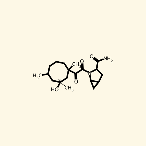 CC1CCCC(C)(C(=O)C(=O)N2C(C(N)=O)CC3CC32)C[C@@](C)(O)C1